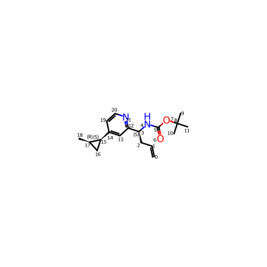 C=CC[C@H](NC(=O)OC(C)(C)C)c1cc([C@H]2C[C@H]2C)ccn1